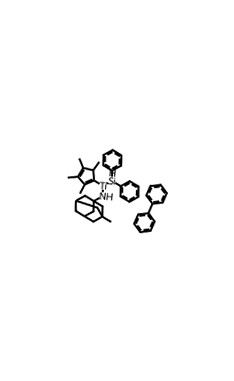 CC1=C(C)C(C)[C]([Ti]([NH]C23CC4CC(CC(C)(C4)C2)C3)[SiH](c2ccccc2)c2ccccc2)=C1C.c1ccc(-c2ccccc2)cc1